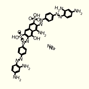 Nc1ccc(N=Nc2ccc(N=Nc3c(S(=O)(=O)O)cc4cc(S(=O)(=O)O)c(N=Nc5ccc(N=Nc6ccc(N)cc6N)cc5)c(O)c4c3N)cc2)c(N)c1.[Na].[Na]